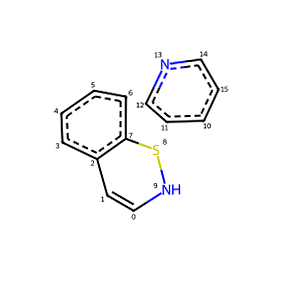 C1=Cc2ccccc2SN1.c1ccncc1